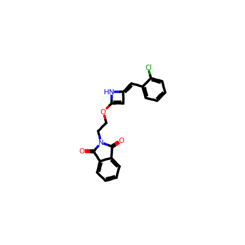 O=C1c2ccccc2C(=O)N1CCOC1=CC(=Cc2ccccc2Cl)N1